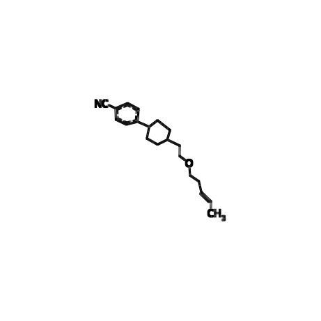 C/C=C/CCOCCC1CCC(c2ccc(C#N)cc2)CC1